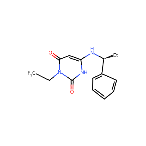 CC[C@H](Nc1cc(=O)n(CC(F)(F)F)c(=O)[nH]1)c1ccccc1